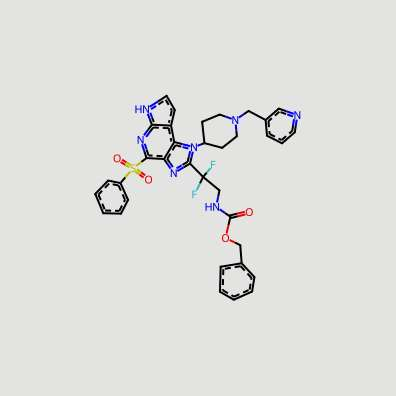 O=C(NCC(F)(F)c1nc2c(S(=O)(=O)c3ccccc3)nc3[nH]ccc3c2n1C1CCN(Cc2cccnc2)CC1)OCc1ccccc1